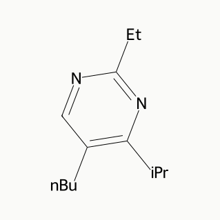 CCCCc1cnc(CC)nc1C(C)C